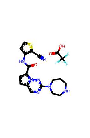 N#Cc1sccc1NC(=O)c1ccc2cnc(N3CCCNCC3)nn12.O=C(O)C(F)(F)F